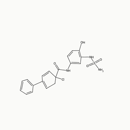 NS(=O)(=O)Nc1cc(NC(=O)C2(Cl)C=CC(c3ccccc3)=CC2)ccc1O